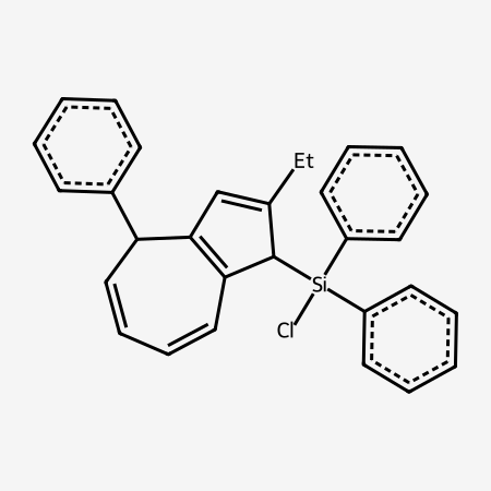 CCC1=CC2=C(C=CC=CC2c2ccccc2)C1[Si](Cl)(c1ccccc1)c1ccccc1